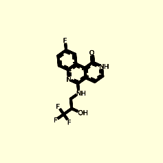 O=c1[nH]ccc2c(NCC(O)C(F)(F)F)nc3ccc(F)cc3c12